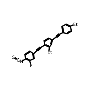 CCc1ccc(C#Cc2ccc(C#Cc3ccc(N=C=S)c(F)c3)c(CC)c2)cc1